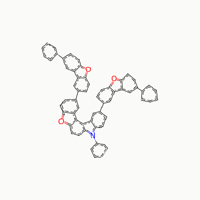 c1ccc(-c2ccc3oc4ccc(-c5ccc6oc7ccc8c(c9cc(-c%10ccc%11oc%12ccc(-c%13ccccc%13)cc%12c%11c%10)ccc9n8-c8ccccc8)c7c6c5)cc4c3c2)cc1